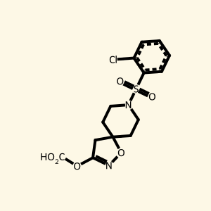 O=C(O)OC1=NOC2(CCN(S(=O)(=O)c3ccccc3Cl)CC2)C1